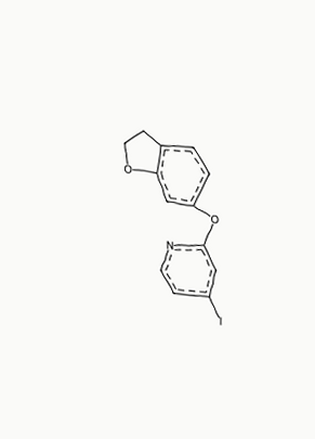 Ic1ccnc(Oc2ccc3c(c2)OCC3)c1